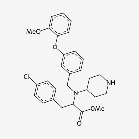 COC(=O)C(Cc1ccc(Cl)cc1)N(Cc1cccc(Oc2ccccc2OC)c1)C1CCNCC1